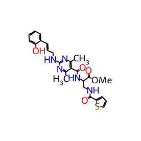 COC(=O)C(CNC(=O)c1cccs1)NC(=O)c1c(C)nc(NCC=Cc2ccccc2O)nc1C